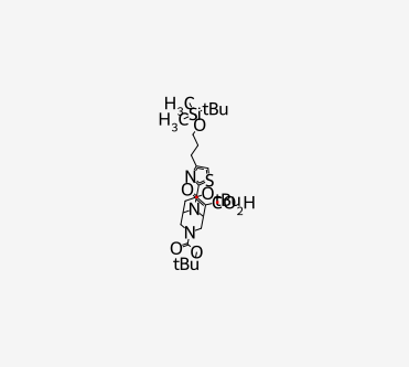 CC(C)(C)OC(=O)N1CC2CC(c3nc(CCCO[Si](C)(C)C(C)(C)C)cs3)=C(C(=O)O)C(C1)N2C(=O)OC(C)(C)C